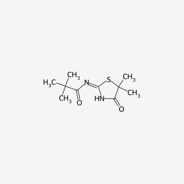 CC(C)(C)C(=O)/N=C1\NC(=O)C(C)(C)S1